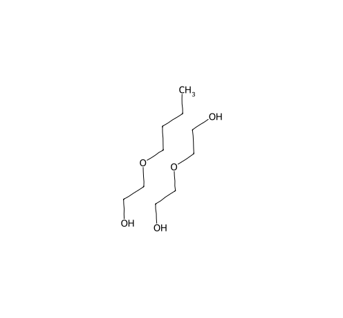 CCCCOCCO.OCCOCCO